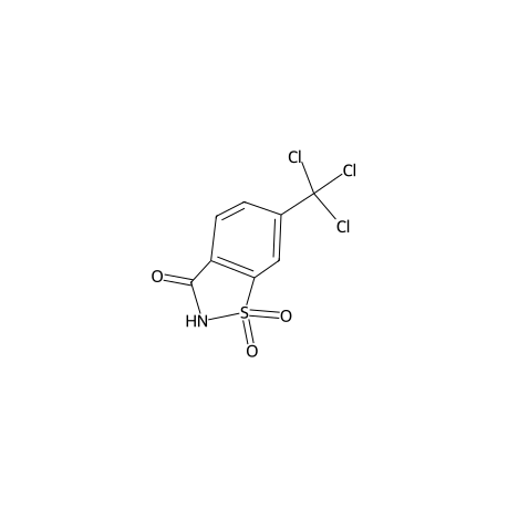 O=C1NS(=O)(=O)c2cc(C(Cl)(Cl)Cl)ccc21